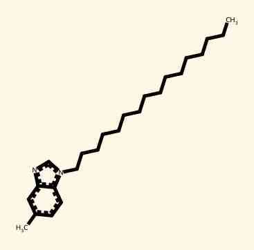 CCCCCCCCCCCCCCCCn1cnc2cc(C)ccc21